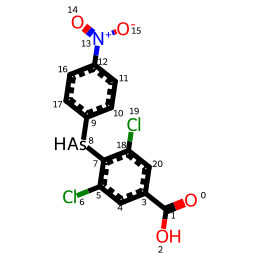 O=C(O)c1cc(Cl)c([AsH]c2ccc([N+](=O)[O-])cc2)c(Cl)c1